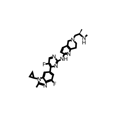 CN[C@H](C)CN1CCc2nc(Nc3ncc(F)c(-c4cc(F)c5nc(C)n(C6CC6)c5c4)n3)ccc2C1